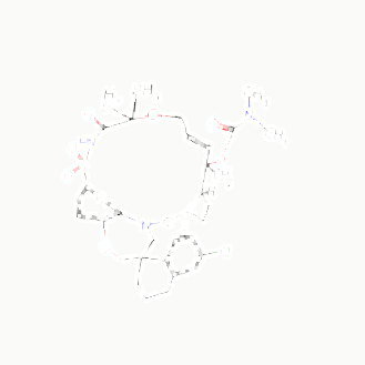 CN(C)C(=O)O[C@@]1(C)/C=C/COC(C)(C)C(=O)NS(=O)(=O)c2ccc3c(c2)N(C[C@@H]2CC[C@H]21)C[C@@]1(CCCc2cc(Cl)ccc21)CO3